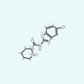 O=C(Nc1nc2cc(Cl)ccc2o1)[C@@H]1CCCCN1